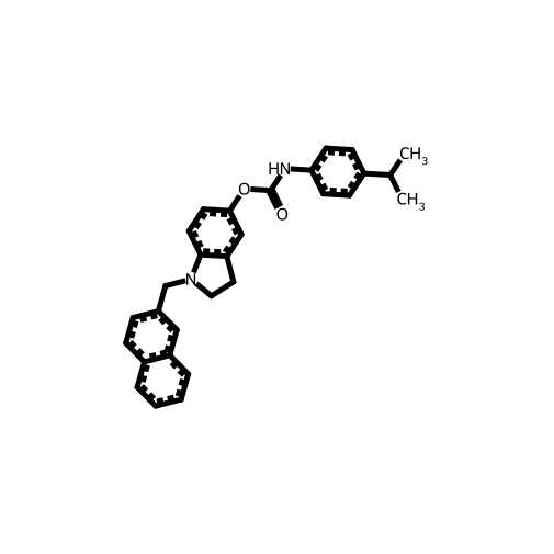 CC(C)c1ccc(NC(=O)Oc2ccc3c(c2)CCN3Cc2ccc3ccccc3c2)cc1